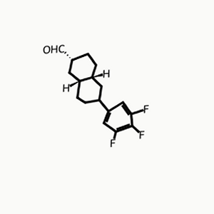 O=C[C@@H]1CC[C@@H]2CC(c3cc(F)c(F)c(F)c3)CC[C@@H]2C1